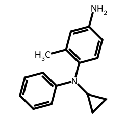 Cc1cc(N)ccc1N(c1ccccc1)C1CC1